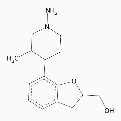 CC1CN(N)CCC1c1cccc2c1OC(CO)C2